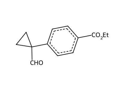 CCOC(=O)c1ccc(C2(C=O)CC2)cc1